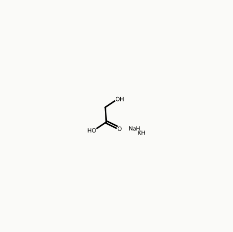 O=C(O)CO.[KH].[NaH]